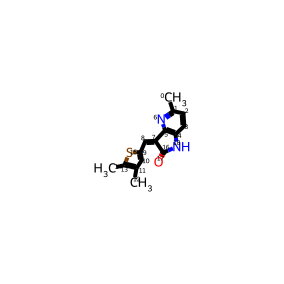 Cc1ccc2c(n1)C(=Cc1cc(C)c(C)s1)C(=O)N2